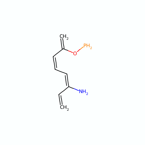 C=C/C(N)=C\C=C/C(=C)OP